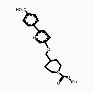 CC(C)(C)OC(=O)N1CCC(COc2ccc(-c3ccc(C(=O)O)cc3)nc2)CC1